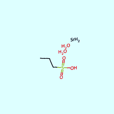 CCCS(=O)(=O)O.O.O.[SrH2]